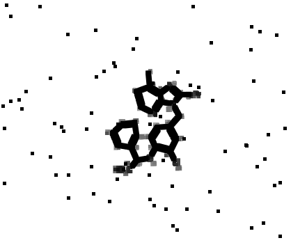 CCCc1nc2c(C)ccnc2n1Cc1ccc(OC(C(=O)O)c2ccccc2)c(Cl)c1